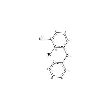 N#Cc1cccc(Oc2cc[c]cc2)c1C#N